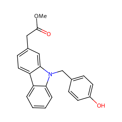 COC(=O)Cc1ccc2c3ccccc3n(Cc3ccc(O)cc3)c2c1